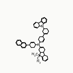 CC1(C)C2=CC=CCC2C2CC=C(N(C3C=CC(C4=CCCC(N5c6ccccc6C6C=CC=CC65)C4)CC3)C3C=CC(c4ccc5ccccc5c4)CC3)CC21